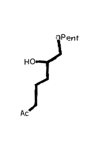 CCCCCCC(O)CCCC(C)=O